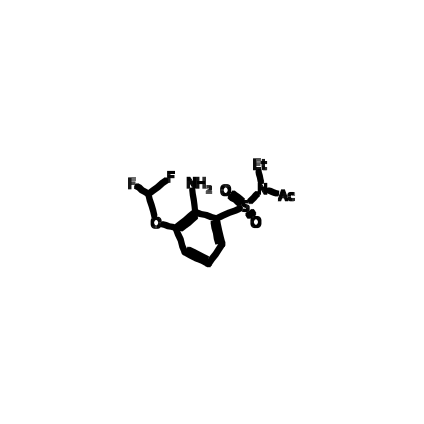 CCN(C(C)=O)S(=O)(=O)c1cccc(OC(F)F)c1N